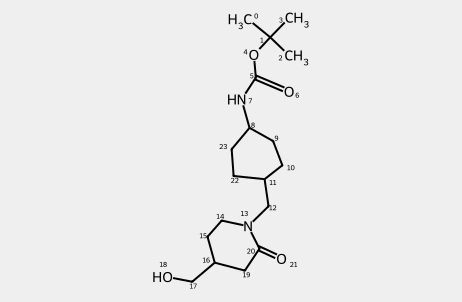 CC(C)(C)OC(=O)NC1CCC(CN2CCC(CO)CC2=O)CC1